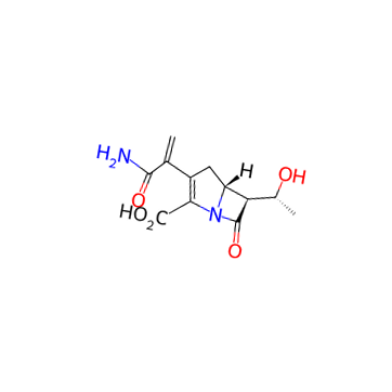 C=C(C(N)=O)C1=C(C(=O)O)N2C(=O)[C@H]([C@@H](C)O)[C@H]2C1